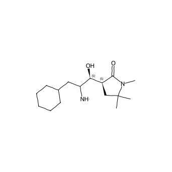 CN1C(=O)[C@H]([C@H](O)C([NH])CC2CCCCC2)CC1(C)C